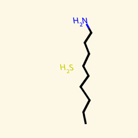 CCCCCCCCCN.S